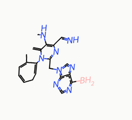 Bc1ncnc2c1ncn2CC1=NC(C=N)=C(NC)C(=C)N1C1=CCC=CC=C1C